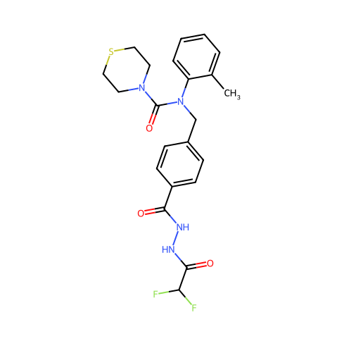 Cc1ccccc1N(Cc1ccc(C(=O)NNC(=O)C(F)F)cc1)C(=O)N1CCSCC1